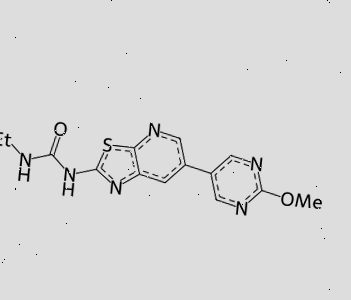 CCNC(=O)Nc1nc2cc(-c3cnc(OC)nc3)cnc2s1